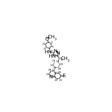 COc1ccc(Nc2nnc([C@H](C)[C@H]3CC[C@@H](c4ccnc5ccc(F)cc54)CC3)[nH]2)cc1